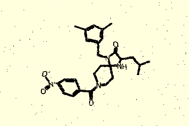 Cc1cc(C)cc(CN2C(=O)C(CC(C)C)NC23CCN(C(=O)c2ccc([N+](=O)[O-])cc2)CC3)c1